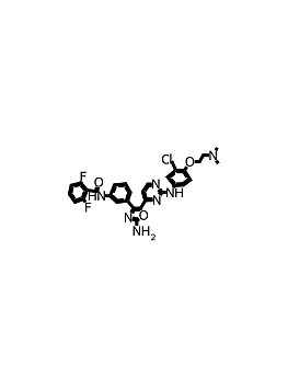 CN(C)CCOc1ccc(Nc2nccc(-c3oc(N)nc3-c3cccc(NC(=O)c4c(F)cccc4F)c3)n2)cc1Cl